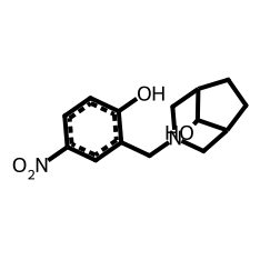 O=[N+]([O-])c1ccc(O)c(CN2CC3CCC(C2)C3O)c1